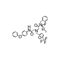 CN(Cc1ccccc1F)C(=O)CN(CC(=O)Nc1ccc(Oc2ccccc2)cc1)Cc1ccc(C(F)(F)F)o1